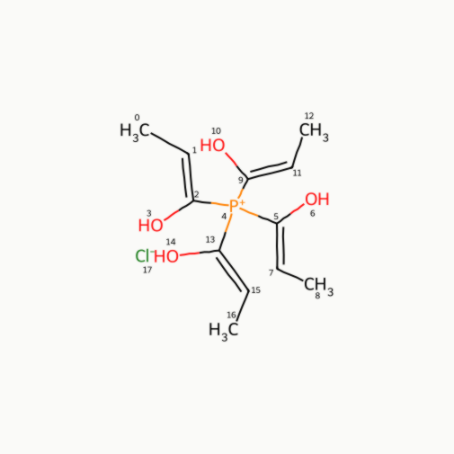 CC=C(O)[P+](C(O)=CC)(C(O)=CC)C(O)=CC.[Cl-]